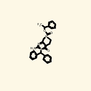 Nc1nc2c(c(=O)n1C(c1ccccc1)c1ccccc1)CCN(C(=O)OC(c1ccccc1)C(F)(F)F)C2